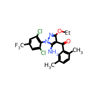 CCOc1nn(-c2c(Cl)cc(C(F)(F)F)cc2Cl)c(N)c1C(=O)c1cc(C)ccc1C